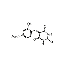 COc1ccc(C=C2C(=O)NC(S)NC2=O)c(O)c1